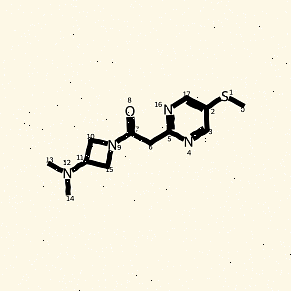 CSc1cnc(CC(=O)N2CC(N(C)C)C2)nc1